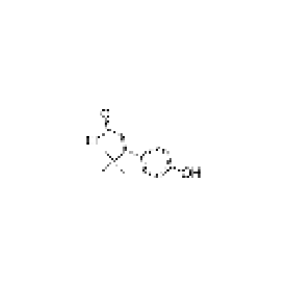 CC(C)(C)C(=CC(=O)Cl)c1ccc(O)cc1